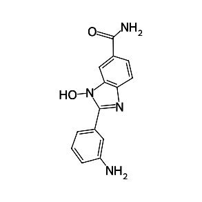 NC(=O)c1ccc2nc(-c3cccc(N)c3)n(O)c2c1